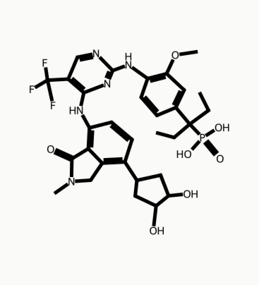 CCC(CC)(c1ccc(Nc2ncc(C(F)(F)F)c(Nc3ccc(C4CC(O)C(O)C4)c4c3C(=O)N(C)C4)n2)c(OC)c1)P(=O)(O)O